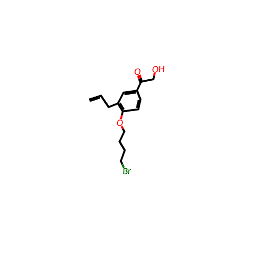 C=CCc1cc(C(=O)CO)ccc1OCCCCBr